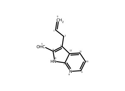 C=CCc1c(C=O)[nH]c2ncccc12